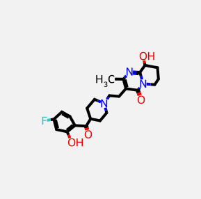 Cc1nc2n(c(=O)c1CCN1CCC(C(=O)c3ccc(F)cc3O)CC1)CCCC2O